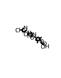 Cc1cc(-c2nc3cnc(Oc4cncc(Cl)c4)nc3o2)cc(C)c1OCC(=O)O